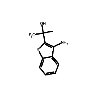 CC(O)(c1sc2ccccc2c1N)C(F)(F)F